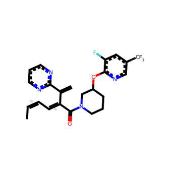 C=C(/C(=C\C=C/C)C(=O)N1CCCC(Oc2ncc(C(F)(F)F)cc2F)C1)c1ncccn1